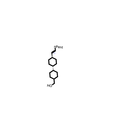 CCCCC/C=C/[C@H]1CC[C@H](C2CCC(CO)CC2)CC1